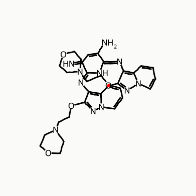 N=C1C=C(N)/C(=N/c2c(OCCN3CCOCC3)nn3ccccc23)N/C1=N\c1c(OCCN2CCOCC2)nn2ccccc12